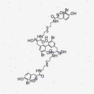 O=C(NCCSSCCNC(=O)/C(Cc1cc(Br)c(O)c(-c2cc(C/C(=N\O)C(=O)NCCSSCCNC(=O)/C(Cc3ccc(O)c(Br)c3)=N/O)cc(Br)c2O)c1)=N/O)/C(Cc1ccc(O)c(Br)c1)=N/O